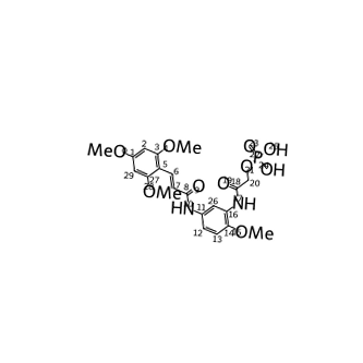 COc1cc(OC)c(/C=C/C(=O)Nc2ccc(OC)c(NC(=O)COP(=O)(O)O)c2)c(OC)c1